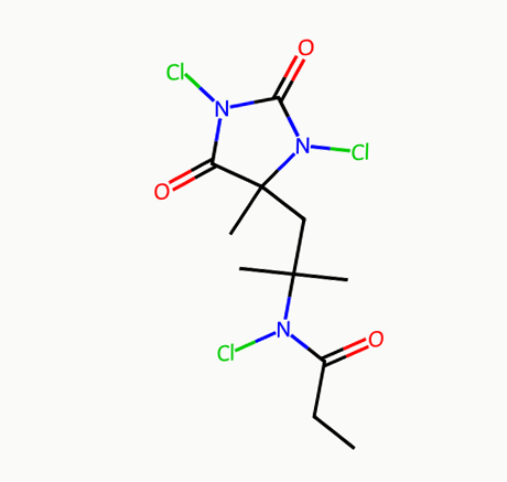 CCC(=O)N(Cl)C(C)(C)CC1(C)C(=O)N(Cl)C(=O)N1Cl